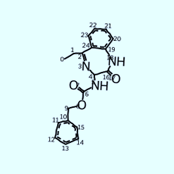 CCC1=NC(NC(=O)OCc2ccccc2)C(=O)Nc2ccccc21